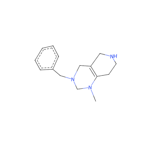 CN1CN(Cc2ccccc2)CC2=C1CCNC2